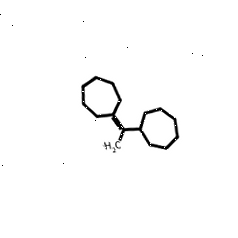 [CH2]C(=C1CCCCCC1)C1CCCCCC1